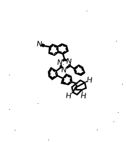 N#Cc1ccc2c(-c3nc(-c4ccccc4)nc(-c4ccccc4-c4ccc(C56C[C@H]7C[C@@H](C5)C[C@@H](C6)C7)cc4)n3)cccc2c1